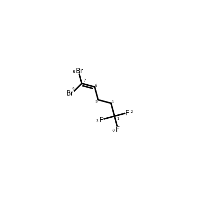 FC(F)(F)CCC=C(Br)Br